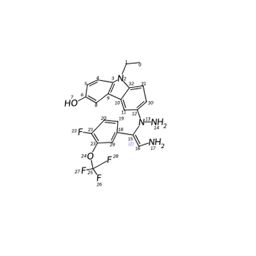 CCn1c2ccc(O)cc2c2cc(N(N)/C(=C\N)c3ccc(F)c(OC(F)(F)F)c3)ccc21